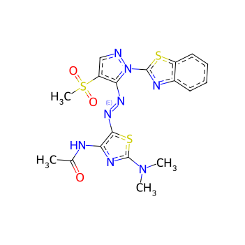 CC(=O)Nc1nc(N(C)C)sc1/N=N/c1c(S(C)(=O)=O)cnn1-c1nc2ccccc2s1